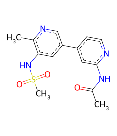 CC(=O)Nc1cc(-c2cnc(C)c(NS(C)(=O)=O)c2)ccn1